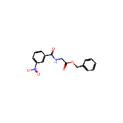 O=C(CNC(=O)c1cccc([N+](=O)[O-])c1)OCc1ccccc1